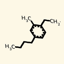 [CH2]Cc1ccc(CCCC)cc1C